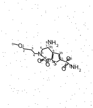 COCCCN1C[C@H](N)c2cc(S(N)(=O)=O)sc2S1(=O)=O